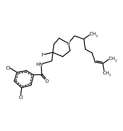 CC(C)=CCCC(C)CN1CCC(F)(CNC(=O)c2cc(Cl)cc(Cl)c2)CC1